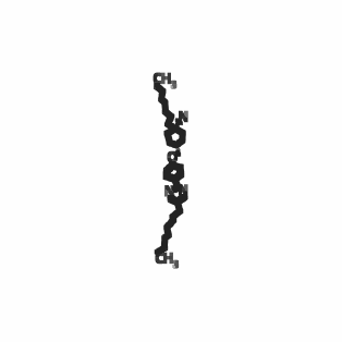 CCCCCCCCCc1cnc(-c2ccc(OC[C@H]3CC[C@@](C#N)(CCCCCCCC)CC3)cc2)nc1